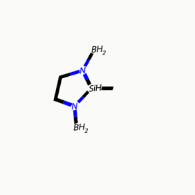 BN1CCN(B)[SiH]1C